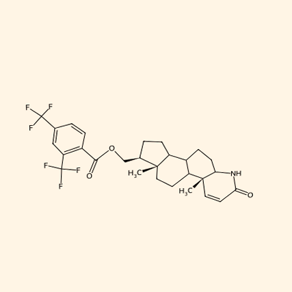 C[C@]12C=CC(=O)NC1CCC1C2CC[C@@]2(C)C1CC[C@@H]2COC(=O)c1ccc(C(F)(F)F)cc1C(F)(F)F